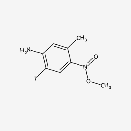 CO[N+](=O)c1cc(I)c(N)cc1C